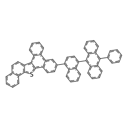 c1ccc(-c2c3ccccc3c(-c3ccc(-c4ccc5c(c4)c4ccccc4c4c6ccc7ccccc7c6sc54)c4ccccc34)c3ccccc23)cc1